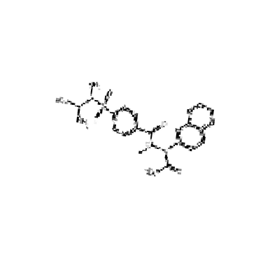 CCCCC(N)C(N)S(=O)(=O)c1ccc(C(=O)[C@H](C)N(C(=O)C(C)(C)C)c2ccc3ccccc3c2)cc1